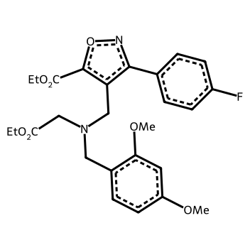 CCOC(=O)CN(Cc1ccc(OC)cc1OC)Cc1c(-c2ccc(F)cc2)noc1C(=O)OCC